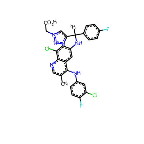 [2H]C(Nc1cc(Cl)c2ncc(C#N)c(Nc3ccc(F)c(Cl)c3)c2c1)(c1ccc(F)cc1)c1cn(CC(=O)O)nn1